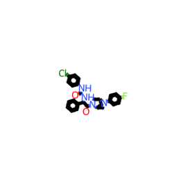 O=C(Nc1ccc(Cl)cc1)NC(C(=O)N1CC2CC1CN2c1ccc(F)cc1)c1ccccc1